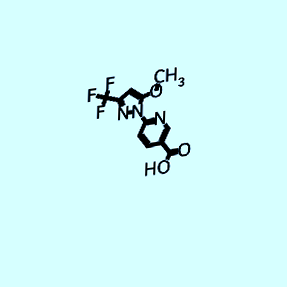 COc1cc(C(F)(F)F)nn1-c1ccc(C(=O)O)cn1